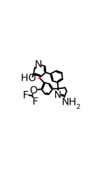 Cc1cc(C2(c3cccc(-c4cncc(O)c4)c3)CCC(N)=N2)ccc1OC(F)F